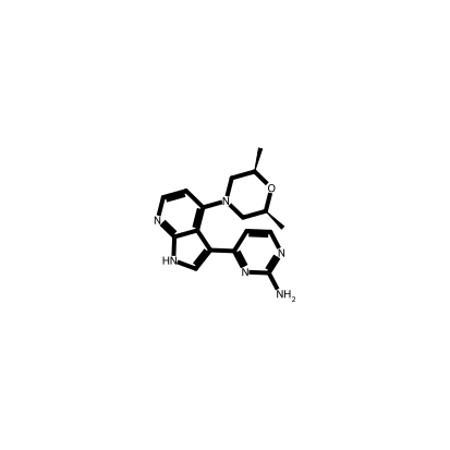 C[C@@H]1CN(c2ccnc3[nH]cc(-c4ccnc(N)n4)c23)C[C@H](C)O1